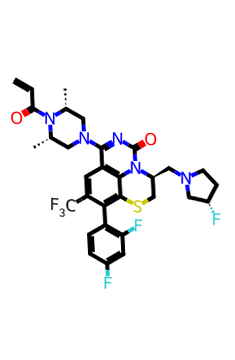 C=CC(=O)N1[C@H](C)CN(c2nc(=O)n3c4c(c(-c5ccc(F)cc5F)c(C(F)(F)F)cc24)SC[C@@H]3CN2CC[C@H](F)C2)C[C@@H]1C